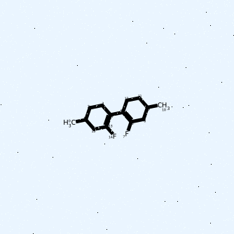 CC1CCC(C2=C(F)CC(C)CC2)=C(F)C1